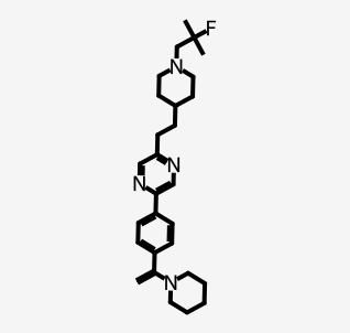 C=C(c1ccc(-c2cnc(CCC3CCN(CC(C)(C)F)CC3)cn2)cc1)N1CCCCC1